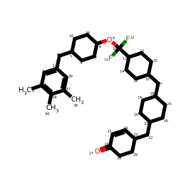 Cc1cc(CC2CCC(OC(F)(F)C3CCC(CC4CCC(CC5C=CC(=O)CC5)CC4)CC3)CC2)cc(C)c1C